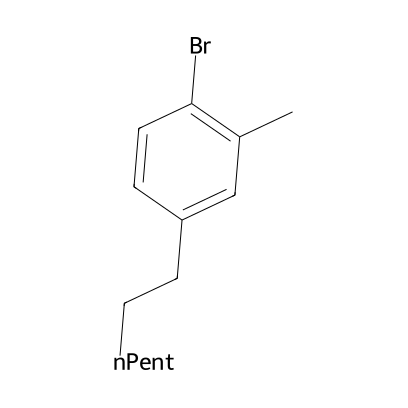 CCCCCCCc1ccc(Br)c(C)c1